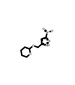 O=[N+]([O-])c1cc(COC2CCCCO2)[nH]n1